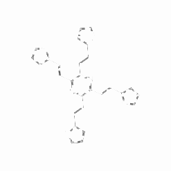 C(=Cc1nc(C=Cc2cccs2)c(C=Cc2cccs2)nc1C=Cc1cccs1)c1cccs1